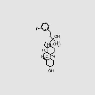 C[C@]12CC[C@H]3[C@@H](CC=C4C[C@@H](O)CC[C@@]43C)[C@@H]1CC[C@@H]2[C@@](C)(O)CCc1cccc(F)c1